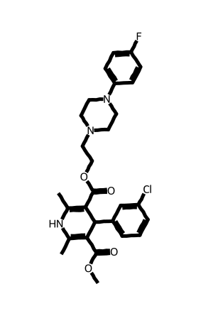 COC(=O)C1=C(C)NC(C)=C(C(=O)OCCN2CCN(c3ccc(F)cc3)CC2)C1c1cccc(Cl)c1